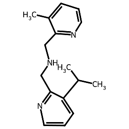 Cc1cccnc1CNCc1ncccc1C(C)C